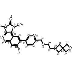 CC(C)n1c(=O)n(C)c2nnc3cc(F)c(-c4ccc(COCCN5CC6(COC6)C5)nc4)cc3c21